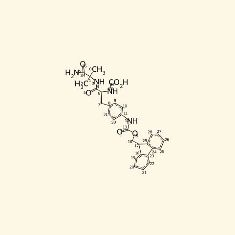 CC(C)(NC(=O)[C@H](Cc1ccc(NC(=O)OCC2c3ccccc3-c3ccccc32)cc1)NC(=O)O)C(N)=O